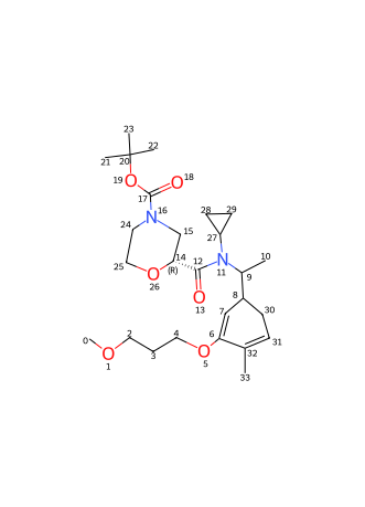 COCCCOC1=CC(C(C)N(C(=O)[C@H]2CN(C(=O)OC(C)(C)C)CCO2)C2CC2)CC=C1C